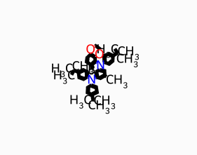 Cc1cc2c3c(c1)N(c1ccc(C(C)(C)C)cc1)c1c(ccc4c1OCCO4)B3c1cc(C(C)(C)C)ccc1N2c1ccc(C(C)(C)C)cc1